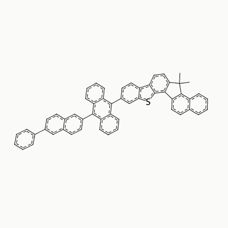 CC1(C)c2ccc3c(sc4cc(-c5c6ccccc6c(-c6ccc7cc(-c8ccccc8)ccc7c6)c6ccccc56)ccc43)c2-c2ccc3ccccc3c21